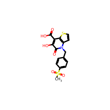 CS(=O)(=O)c1ccc(Cn2c(=O)c(O)c(C(=O)O)c3sccc32)cc1